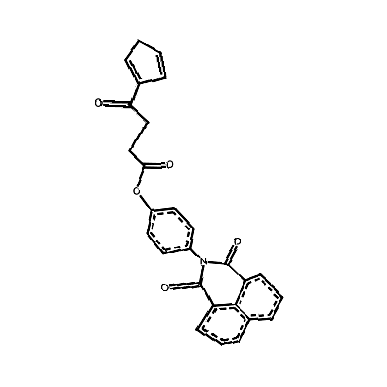 O=C(CCC(=O)C1=CCC=C1)Oc1ccc(N2C(=O)c3cccc4cccc(c34)C2=O)cc1